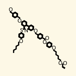 C=CC(=O)OCCCCCCOc1ccc(OC(=O)c2ccc(COc3ccc4c(c3)nc(Sc3ccc(OCCCCCC)cc3)c3cc(OCc5ccc(C=O)cc5)ccc34)cc2)cc1